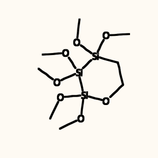 CO[Si]1(OC)CCO[Si](OC)(OC)[Si]1(OC)OC